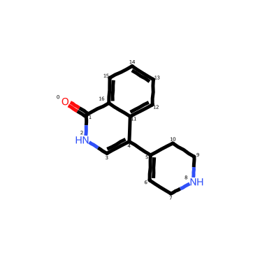 O=c1[nH]cc(C2=CCNCC2)c2ccccc12